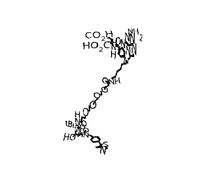 Cc1ncsc1-c1ccc(CNC(=O)[C@@H]2C[C@@H](O)CN2C(=O)C(NC(=O)CCOCCOCCOCCOCCC(=O)NCCCCCCN(Cc2cnc3nc(N)nc(N)c3n2)c2ccc(C(=O)NC(CCC(=O)O)C(=O)O)cc2)C(C)(C)C)cc1